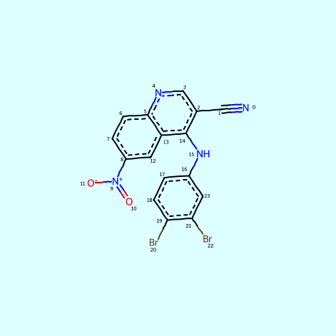 N#Cc1cnc2ccc([N+](=O)[O-])cc2c1Nc1ccc(Br)c(Br)c1